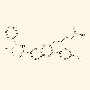 CN(C)C(NC(=O)c1ccc2nc(-c3ccc(CI)cc3)c(CCCCC(=O)O)nc2c1)c1ccccc1